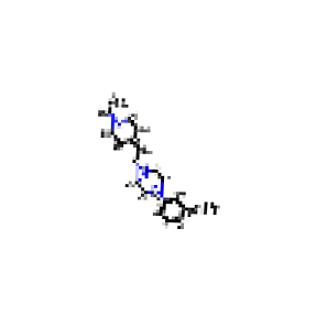 CCCc1cccc(N2CCN(CCC3CCN(CC(C)=O)CC3)CC2)c1